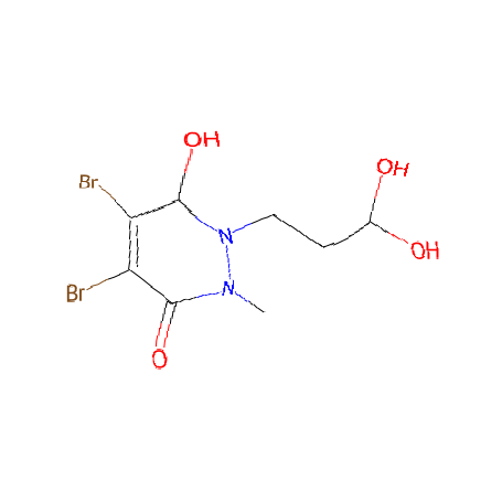 CN1C(=O)C(Br)=C(Br)C(O)N1CCC(O)O